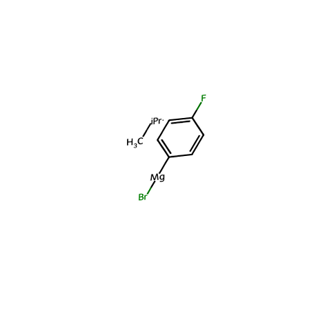 C[C](C)C.Fc1cc[c]([Mg][Br])cc1